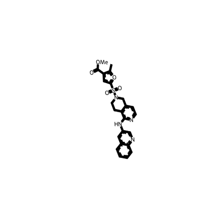 COC(=O)c1cc(S(=O)(=O)N2CCc3c(ccnc3Nc3cnc4ccccc4c3)C2)oc1C